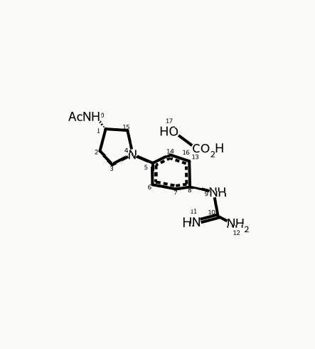 CC(=O)N[C@H]1CCN(c2ccc(NC(=N)N)cc2)C1.O=C(O)O